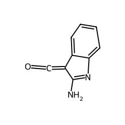 NC1=Nc2ccccc2C1=C=O